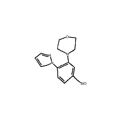 O=Nc1ccc(-n2cccn2)c(N2CCOCC2)c1